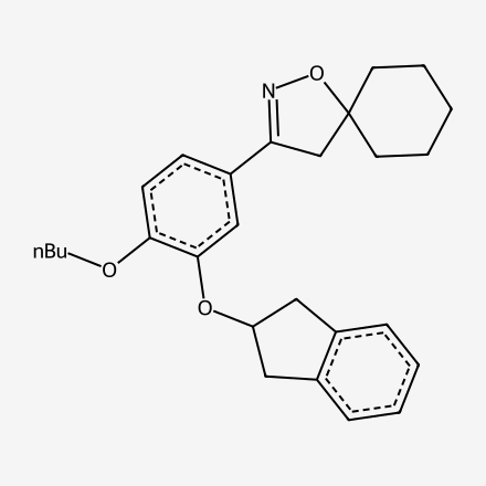 CCCCOc1ccc(C2=NOC3(CCCCC3)C2)cc1OC1Cc2ccccc2C1